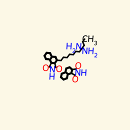 CCCC(N)(N)CCCCCCCc1cc2ccccc2c2c1C(=O)NC2=O.O=C1NC(=O)c2c1ccc1ccccc21